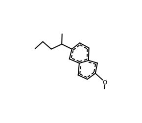 CCCC(C)c1ccc2cc(OC)ccc2c1